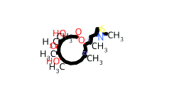 C/C1=C/C(/C(C)=C/c2csc(C)n2)OC(=O)CC(O)C(C)(C)C(=O)C(C)C(O)C(C)CCC1